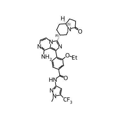 CCOc1cc(C(=O)Nc2cc(C(F)(F)F)n(C)n2)ccc1-c1nc([C@@H]2CC[C@H]3CCC(=O)N3C2)n2ccnc(N)c12